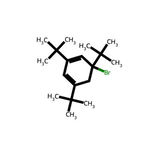 CC(C)(C)C1=CC(Br)(C(C)(C)C)CC(C(C)(C)C)=C1